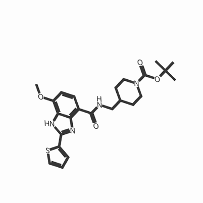 COc1ccc(C(=O)NCC2CCN(C(=O)OC(C)(C)C)CC2)c2nc(-c3cccs3)[nH]c12